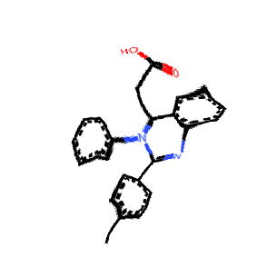 Cc1ccc(C2=Nc3ccccc3C(CC(=O)O)N2c2ccccc2)cc1